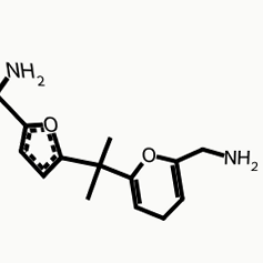 CC(C)(C1=CCC=C(CN)O1)c1ccc(CN)o1